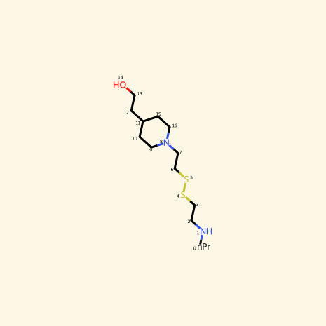 CCCNCCSSCCN1CCC(CCO)CC1